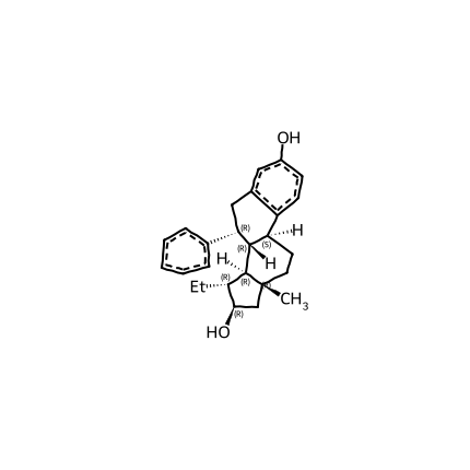 CC[C@@H]1[C@H]2[C@H]3[C@H](CC[C@]2(C)C[C@H]1O)c1ccc(O)cc1C[C@H]3c1ccccc1